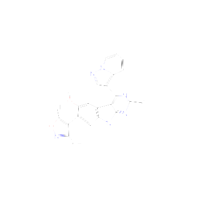 COc1cc2c(cc1-c1c(C)noc1C)[nH]c1nc(C)nc(-c3cnn4ccccc34)c12